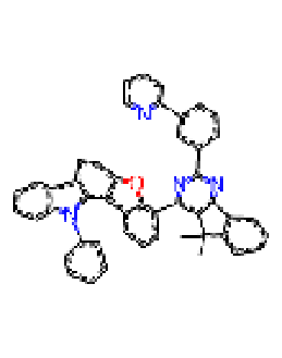 CC1(C)c2ccccc2-c2nc(-c3cccc(-c4ccccn4)c3)nc(-c3cccc4c3oc3ccc5c6ccccc6n(-c6ccccc6)c5c34)c21